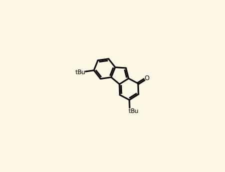 CC(C)(C)C1=CC(=O)C2=Cc3ccc(C(C)(C)C)cc3C2=C1